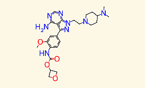 COc1cc(-c2nn(CCN3CCC(N(C)C)CC3)c3ncnc(N)c23)ccc1NC(=O)OC1COC1